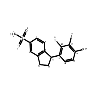 NS(=O)(=O)c1ccc2c(c1)CCC2c1ccc(F)c(I)c1F